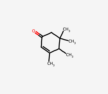 CC1=CC(=O)CC(C)(C)C1C